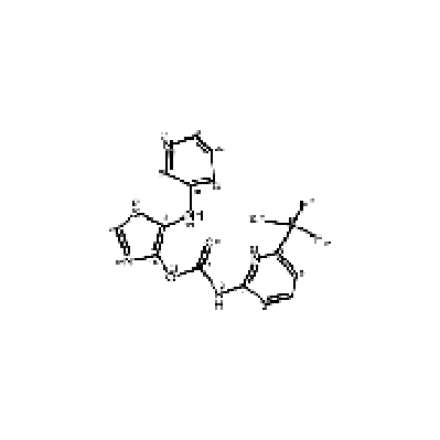 O=C(Nc1cccc(C(F)(F)F)n1)Oc1ncsc1Nc1cccnc1